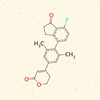 Cc1cc(C2=CC(=O)OCC2)cc(C)c1-c1ccc(F)c2c1CCC2=O